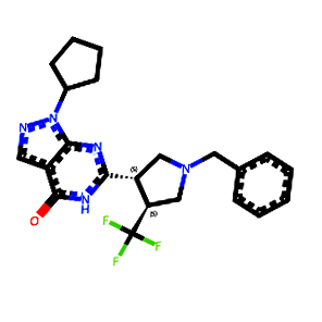 O=c1[nH]c([C@@H]2CN(Cc3ccccc3)C[C@H]2C(F)(F)F)nc2c1cnn2C1CCCC1